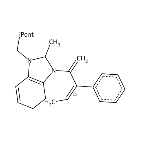 C=C(/C(=C\C)c1ccccc1)N1C2=C(C=CCC2)N(CC(C)CCC)C1C